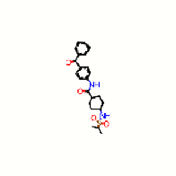 CC(C)S(=O)(=O)NC1CCC(C(=O)Nc2ccc(C(=O)c3ccccc3)cc2)CC1